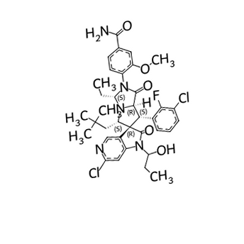 CCC(O)N1C(=O)[C@]2(c3cnc(Cl)cc31)[C@H](CC(C)(C)C)N1[C@H](CC)N(c3ccc(C(N)=O)cc3OC)C(=O)[C@H]1[C@@H]2c1cccc(Cl)c1F